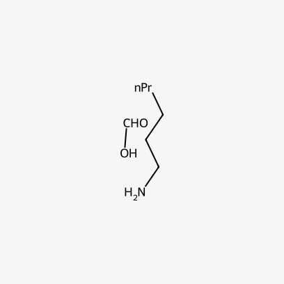 CCCCCCN.O=CO